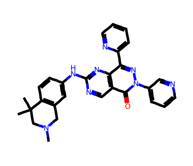 CN1Cc2cc(Nc3ncc4c(=O)n(-c5cccnc5)nc(-c5ccccn5)c4n3)ccc2C(C)(C)C1